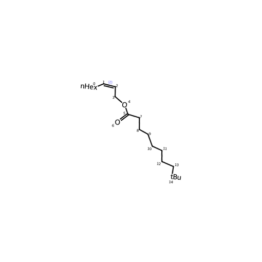 CCCCCC/C=C\COC(=O)CCCCCCCC(C)(C)C